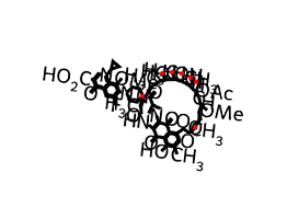 COc1c(N2CCN(C(=O)C3CN(C4=C5NC(=O)/C(C)=C\C=C\[C@H](C)[C@H](O)[C@@H](C)[C@@H](O)[C@@H](C)[C@H](OC(C)=O)C[C@@H](OC)/C=C/O[C@@]6(C)Oc7c(C)c(O)c(c(c7C6=O)C4=O)C5=O)C3)CC2)c(F)cc2c(=O)c(C(=O)O)cn(C3CC3)c12